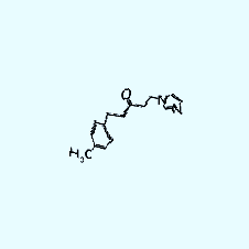 Cc1ccc(CCC(=O)CCn2ccnc2)cc1